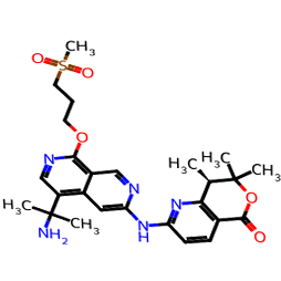 C[C@@H]1c2nc(Nc3cc4c(C(C)(C)N)cnc(OCCCS(C)(=O)=O)c4cn3)ccc2C(=O)OC1(C)C